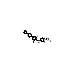 Fc1cc(OC(F)(F)c2c(F)cc(C3CCC(C4CCCC4)CC3)cc2F)cc(F)c1OC(F)(F)F